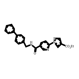 CCOC(=O)c1cnn(-c2ccc(C(=O)NCc3ccc(-c4ccccc4)cc3)cn2)c1